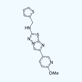 COc1ccc(-c2cn3nc(NCc4cccs4)sc3n2)cn1